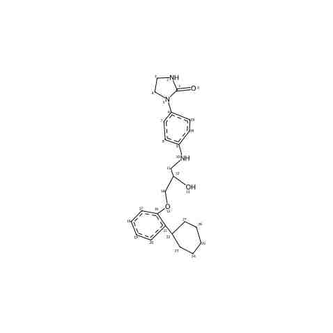 O=C1NCCN1c1ccc(NCC(O)COc2ccccc2C2CCCCC2)cc1